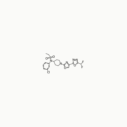 CCS(=O)(=O)N(c1cccc(Cl)c1)C1CCN(c2nc(-c3nnc(C(F)F)o3)co2)CC1